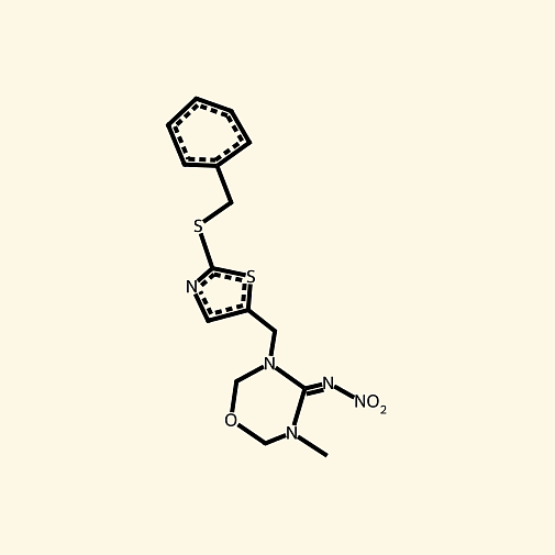 CN1COCN(Cc2cnc(SCc3ccccc3)s2)C1=N[N+](=O)[O-]